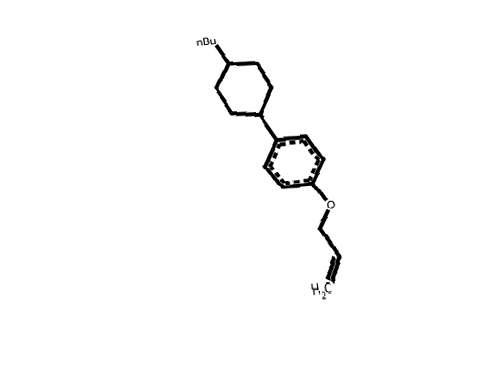 C=CCOc1ccc(C2CCC(CCCC)CC2)cc1